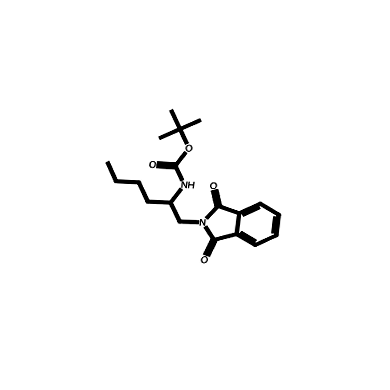 CCCCC(CN1C(=O)c2ccccc2C1=O)NC(=O)OC(C)(C)C